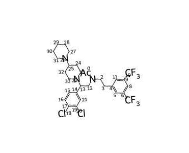 CC(=O)N(CCc1cc(C(F)(F)F)cc(C(F)(F)F)c1)CC(c1ccc(Cl)c(Cl)c1)N1CCC(N2CCCCC2)CC1